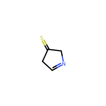 S=C1CC=NC1